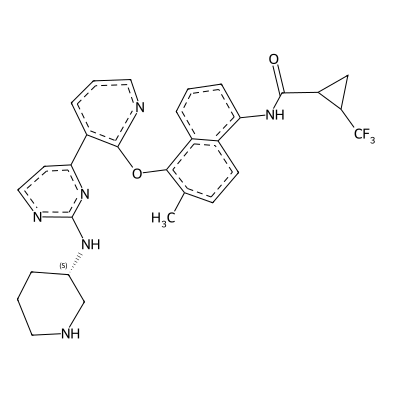 Cc1ccc2c(NC(=O)C3CC3C(F)(F)F)cccc2c1Oc1ncccc1-c1ccnc(N[C@H]2CCCNC2)n1